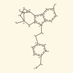 Cc1ccc2c(c1)c1c(n2CCc2ccc(CF)nc2)CC2(C)CCC1N2C